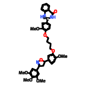 COc1cc([12CH]2NC(=O)c3ccccc3N2)ccc1OCCCCOc1cc(C2CC(c3cc(OC)c(OC)c(OC)c3)=NO2)ccc1OC